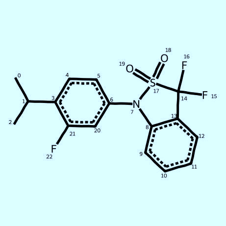 CC(C)c1ccc(N2c3ccccc3C(F)(F)S2(=O)=O)cc1F